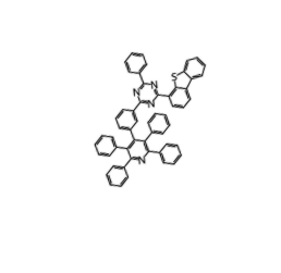 c1ccc(-c2nc(-c3cccc(-c4c(-c5ccccc5)c(-c5ccccc5)nc(-c5ccccc5)c4-c4ccccc4)c3)nc(-c3cccc4c3sc3ccccc34)n2)cc1